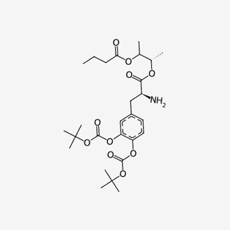 CCCC(=O)OC(C)[C@H](C)OC(=O)[C@@H](N)Cc1ccc(OC(=O)OC(C)(C)C)c(OC(=O)OC(C)(C)C)c1